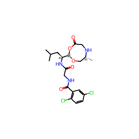 CC(C)C[C@H](NC(=O)CNC(=O)c1cc(Cl)ccc1Cl)B1OC[C@@H](C)NCC(=O)O1